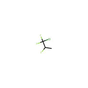 CC(F)C(F)(F)Cl